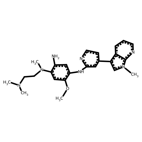 COc1cc(N(C)CCN(C)C)c(N)cc1Nc1cc(-c2cn(C)c3ncccc23)ccn1